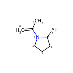 C=C(C)N1CCCC1C(C)=O